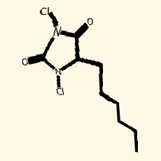 CCCCCCC1C(=O)N(Cl)C(=O)N1Cl